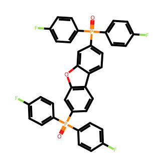 O=P(c1ccc(F)cc1)(c1ccc(F)cc1)c1ccc2c(c1)oc1cc(P(=O)(c3ccc(F)cc3)c3ccc(F)cc3)ccc12